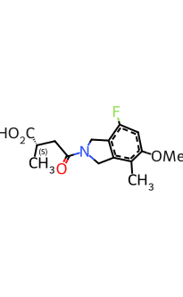 COc1cc(F)c2c(c1C)CN(C(=O)C[C@H](C)C(=O)O)C2